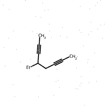 [CH2]C#CCC(C#CC)CC